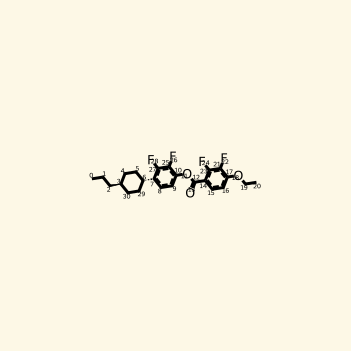 CCC[C@H]1CC[C@H](c2ccc(OC(=O)c3ccc(OCC)c(F)c3F)c(F)c2F)CC1